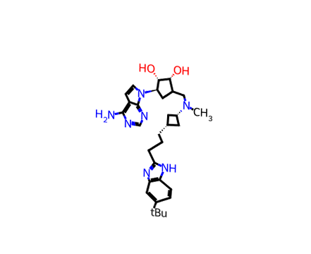 CN(CC1C[C@@H](n2ccc3c(N)ncnc32)[C@H](O)[C@@H]1O)[C@H]1C[C@@H](CCCc2nc3cc(C(C)(C)C)ccc3[nH]2)C1